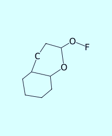 FOC1CCC2CCCCC2O1